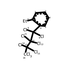 [CH2]Cc1ccccc1C(Cl)(Cl)C(Cl)(Cl)C(Cl)(Cl)C(Cl)(Cl)Cl